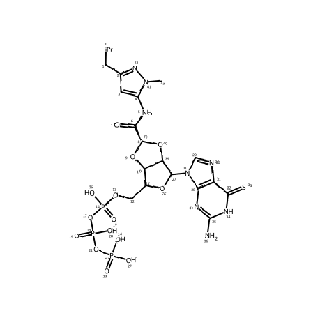 CC(C)Cc1cc(NC(=O)[C@@H]2OC3C(COP(=O)(O)OP(=O)(O)OP(=O)(O)O)OC(n4cnc5c(=S)[nH]c(N)nc54)C3O2)n(C)n1